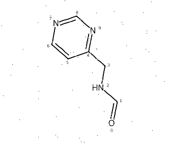 O=CNCc1ccncn1